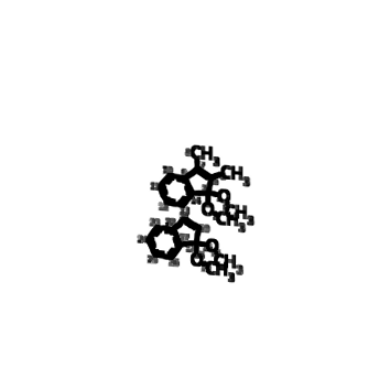 COC1(OC)C(C)=C(C)c2ccccc21.COC1(OC)C=Cc2ccccc21